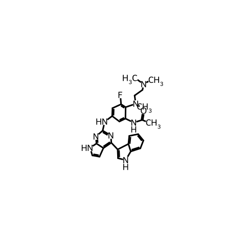 CC(=O)Nc1cc(Nc2nc(-c3c[nH]c4ccccc34)c3cc[nH]c3n2)cc(F)c1N(C)CCN(C)C